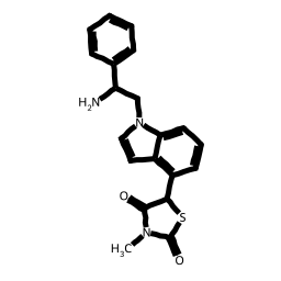 CN1C(=O)SC(c2cccc3c2ccn3CC(N)c2ccccc2)C1=O